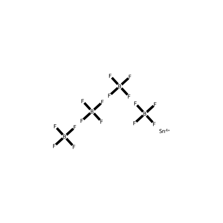 F[B-](F)(F)F.F[B-](F)(F)F.F[B-](F)(F)F.F[B-](F)(F)F.[Sn+4]